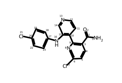 NC(=O)c1ccc(Cl)nc1-c1ccncc1Nc1ccc(Cl)cc1